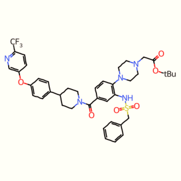 CC(C)(C)OC(=O)CN1CCN(c2ccc(C(=O)N3CCC(c4ccc(Oc5ccc(C(F)(F)F)nc5)cc4)CC3)cc2NS(=O)(=O)Cc2ccccc2)CC1